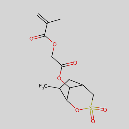 C=C(C)C(=O)OCC(=O)OC1C2CC(C(F)(F)F)C1OS(=O)(=O)C2